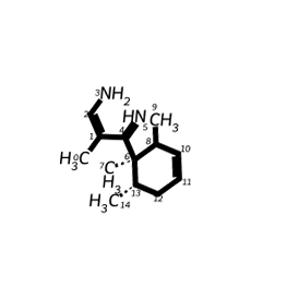 C/C(=C/N)C(=N)[C@@]1(C)C(C)C=CC[C@@H]1C